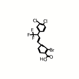 O=C(O)c1ccc(C=CC(c2ccc(Cl)c(Cl)c2)C(F)(F)F)cc1Br